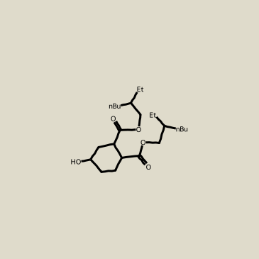 CCCCC(CC)COC(=O)C1CCC(O)CC1C(=O)OCC(CC)CCCC